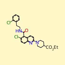 CCOC(=O)C1CCN(c2ccc3c(C(=O)NCCc4ccccc4Cl)c(Cl)ccc3n2)CC1